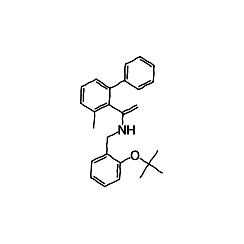 C=C(NCc1ccccc1OC(C)(C)C)c1c(C)cccc1-c1ccccc1